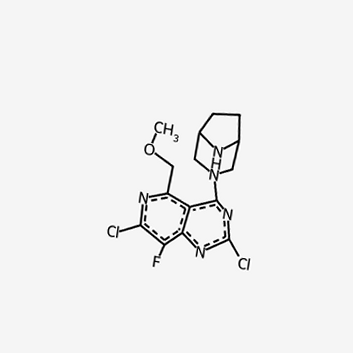 COCc1nc(Cl)c(F)c2nc(Cl)nc(N3CC4CCC(C3)N4)c12